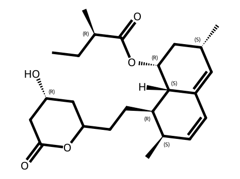 CC[C@@H](C)C(=O)O[C@@H]1C[C@H](C)C=C2C=C[C@@H](C)[C@@H](CCC3C[C@@H](O)CC(=O)O3)[C@@H]21